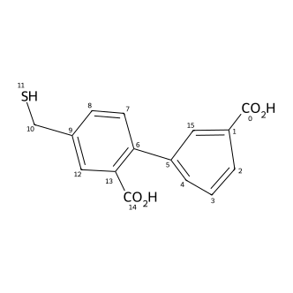 O=C(O)c1cccc(-c2ccc(CS)cc2C(=O)O)c1